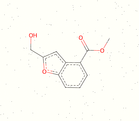 COC(=O)c1cccc2oc(CO)cc12